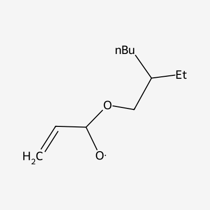 C=CC([O])OCC(CC)CCCC